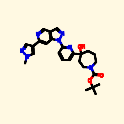 Cn1cc(-c2cc3c(cn2)cnn3-c2cccc(C3(O)CCCN(C(=O)OC(C)(C)C)CC3)n2)cn1